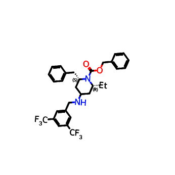 CC[C@@H]1CC(NCc2cc(C(F)(F)F)cc(C(F)(F)F)c2)C[C@H](Cc2ccccc2)N1C(=O)OCc1ccccc1